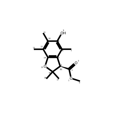 COC(=O)[C@@H]1c2c(C)c(O)c(C)c(C)c2OC1(C)C